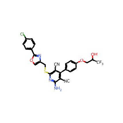 [C-]#[N+]c1c(N)nc(SCc2coc(-c3ccc(Cl)cc3)n2)c(C#N)c1-c1ccc(OCC(O)C(F)(F)F)cc1